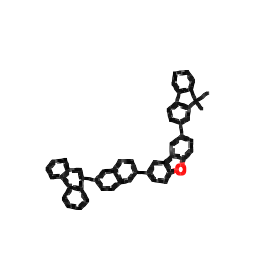 CC1(C)c2ccccc2-c2ccc(-c3ccc4oc5ccc(-c6ccc7cc(-c8cc9ccccc9c9ccccc89)ccc7c6)cc5c4c3)cc21